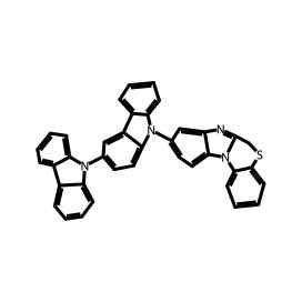 c1ccc2c(c1)SCc1nc3cc(-n4c5ccccc5c5cc(-n6c7ccccc7c7ccccc76)ccc54)ccc3n1-2